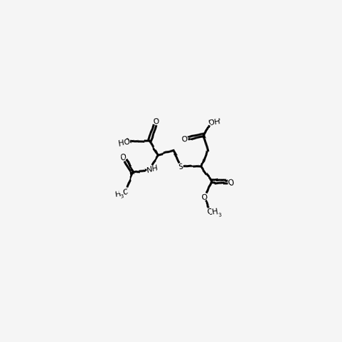 COC(=O)C(CC(=O)O)SCC(NC(C)=O)C(=O)O